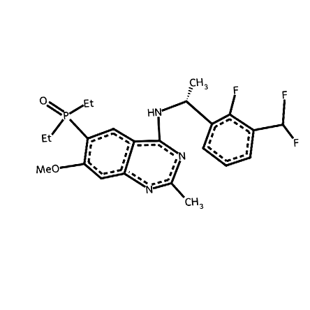 CCP(=O)(CC)c1cc2c(N[C@H](C)c3cccc(C(F)F)c3F)nc(C)nc2cc1OC